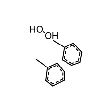 Cc1ccccc1.Cc1ccccc1.OO